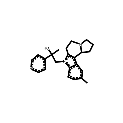 Cc1ccc2c(c1)c1c(n2CC(C)(O)c2ccncc2)CCN2CCCC12